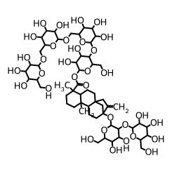 C=C1CC23CCC4C(C)(C(=O)OC5OC(CO)C(OC6OC(COC7OC(COC8OC(CO)C(O)C(O)C8O)C(O)C(O)C7O)C(O)C(O)C6O)C(O)C5O)CCCC4(C)C2CCC1(OC1OC(CO)C(O)C(O)C1OC1OC(CO)C(O)C(O)C1O)C3